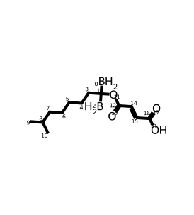 BC(B)(CCCCCC(C)C)OC(=O)/C=C/C(=O)O